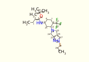 CC/C=C(\NC1CCC(C(F)(F)F)C(N2Cc3cn(SCC)nc3C2)C1)OC(C)(C)C